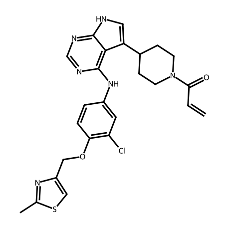 C=CC(=O)N1CCC(c2c[nH]c3ncnc(Nc4ccc(OCc5csc(C)n5)c(Cl)c4)c23)CC1